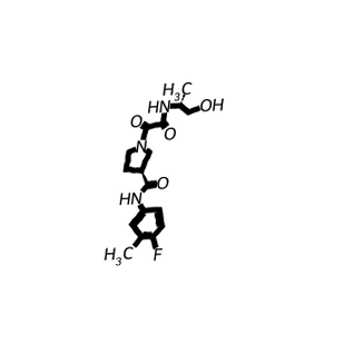 Cc1cc(NC(=O)[C@H]2CCN(C(=O)C(=O)N[C@H](C)CO)C2)ccc1F